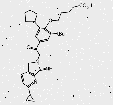 CC(C)(C)c1cc(C(=O)CN2Cc3ccc(C4CC4)nc3C2=N)cc(N2CCCC2)c1OCCCCC(=O)O